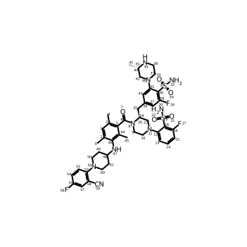 Cc1cc(C)c(C(=O)N2CCN(c3cccc(F)c3S(N)(=O)=O)C[C@@H]2Cc2cc(F)c(S(N)(=O)=O)c(N3CCN[C@@H](C)C3)c2)c(C)c1NC1CCN(c2ccc(F)cc2C#N)CC1